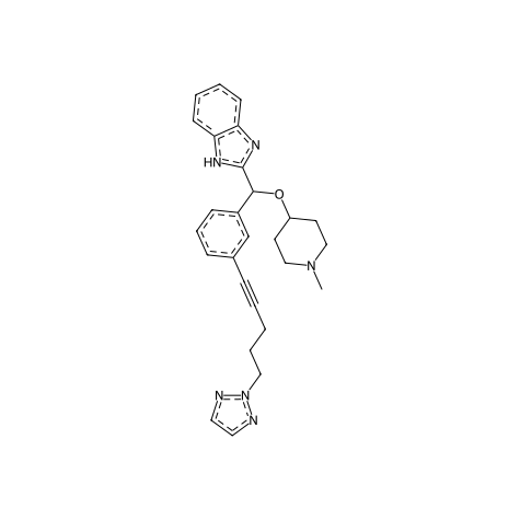 CN1CCC(OC(c2cccc(C#CCCCn3nccn3)c2)c2nc3ccccc3[nH]2)CC1